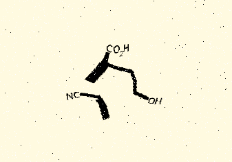 C=C(CCO)C(=O)O.C=CC#N